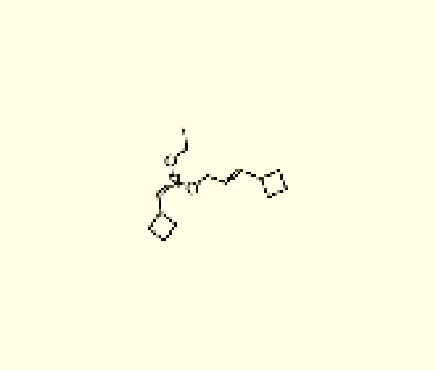 CCO[Si](=CC1CCC1)OCC=CC1CCC1